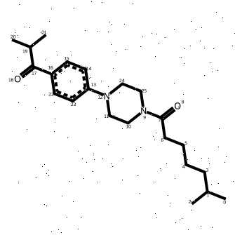 CC(C)CCCCC(=O)N1CCN(c2ccc(C(=O)C(C)C)cc2)CC1